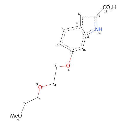 COCCOCCOc1ccc2cc(C(=O)O)[nH]c2c1